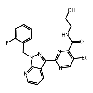 CCc1cnc(-c2nn(Cc3ccccc3F)c3ncccc23)nc1C(=O)NCCO